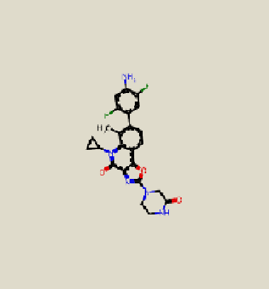 Cc1c(-c2cc(F)c(N)cc2F)ccc2c3oc(N4CCNC(=O)C4)nc3c(=O)n(C3CC3)c12